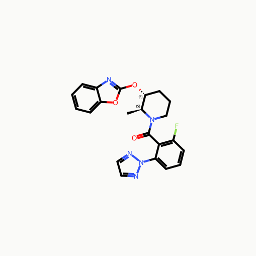 C[C@H]1[C@H](Oc2nc3ccccc3o2)CCCN1C(=O)c1c(F)cccc1-n1nccn1